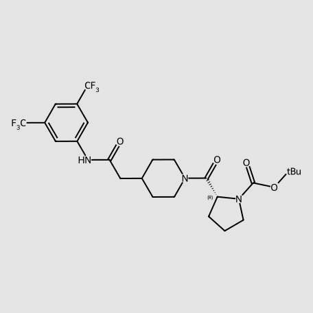 CC(C)(C)OC(=O)N1CCC[C@@H]1C(=O)N1CCC(CC(=O)Nc2cc(C(F)(F)F)cc(C(F)(F)F)c2)CC1